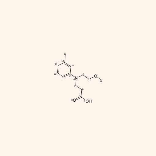 COCCN(CCC(=O)O)c1cccc(C)c1